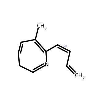 C=C/C=C\C1=C(C)C=CCC=N1